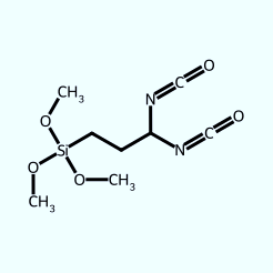 CO[Si](CCC(N=C=O)N=C=O)(OC)OC